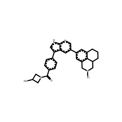 CCN1Cc2cc(-c3cnc4[nH]cc(-c5ccc(C(=O)N6CC(O)C6)cc5)c4c3)cc3c2C(CCC3)C1